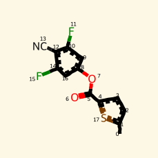 Cc1ccc(C(=O)Oc2cc(F)c(C#N)c(F)c2)s1